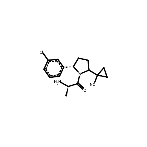 C[C@@H](N)C(=O)N1C(C2(C#N)CC2)CC[C@H]1c1cccc(Cl)c1